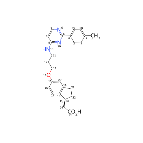 Cc1ccc(-c2nccc(NCCCOc3ccc4c(c3)CC[C@H]4CC(=O)O)n2)cc1